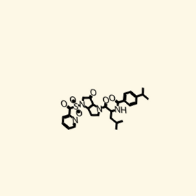 CC(C)CC(NC(=O)c1ccc(C(C)C)cc1)C(=O)N1CCC2C1C(=O)CN2S(=O)(=O)C(=O)c1ccccn1